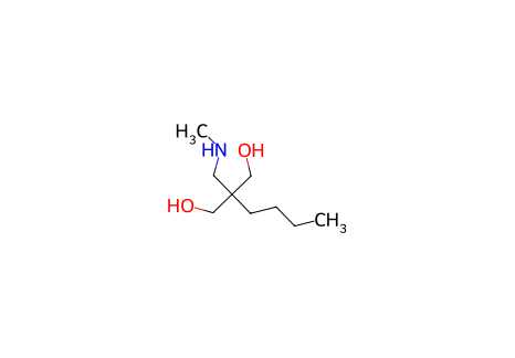 CCCCC(CO)(CO)CNC